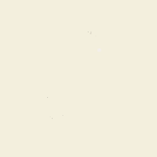 NC/C(=C/F)COc1ccc2c(=O)nc[nH]c2c1